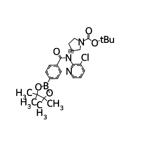 CC(C)(C)OC(=O)N1CC[C@@H](N(C(=O)c2ccc(B3OC(C)(C)C(C)(C)O3)cc2)c2ncccc2Cl)C1